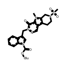 Cn1c2c(c3cnn(Cc4cn(C(=O)OC(C)(C)C)c5ccccc45)c(=O)c31)CCN(S(C)(=O)=O)C2